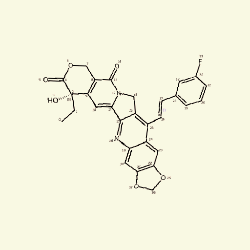 CC[C@@]1(O)C(=O)OCc2c1cc1n(c2=O)Cc2c-1nc1cc3c(cc1c2/C=C/c1cccc(F)c1)OCO3